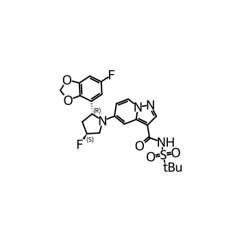 CC(C)(C)S(=O)(=O)NC(=O)c1cnn2ccc(N3C[C@@H](F)C[C@@H]3c3cc(F)cc4c3OCO4)cc12